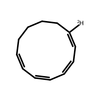 [2H]C1=CC=CC=CC=CCCCC1